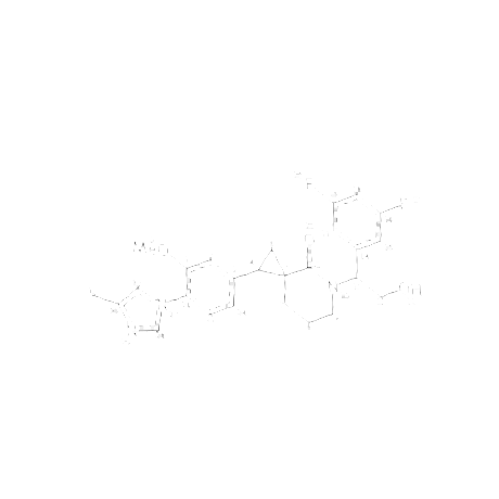 COc1cc(C2CC23CCCN(C(CO)c2cc(F)cc(F)c2)C3=O)ccc1-n1cnc(C)c1